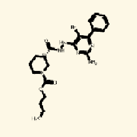 CCCCOC(=O)N1CCC[C@H](C(=O)NNc2nc(N)nc(-c3ccccc3)c2Br)C1